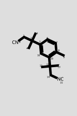 [C-]#[N+]CC(C)(C)c1ccc(C)c(C(C)(C)C[N+]#[C-])c1